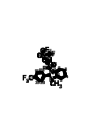 CN1c2ccccc2N(S(=O)(=O)F)C1c1ccc(C(F)(F)F)cc1.O=S(=O)(O)C(F)(F)F